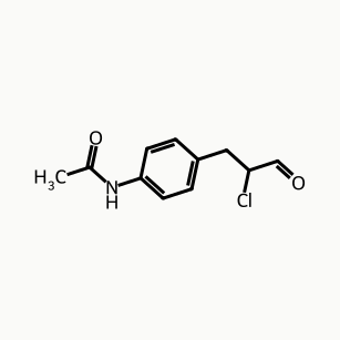 CC(=O)Nc1ccc(CC(Cl)C=O)cc1